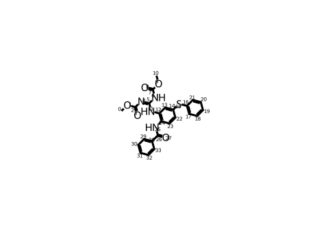 COC(=O)/N=C(/NC(=O)OC)Nc1cc(Sc2ccccc2)ccc1NC(=O)c1ccccc1